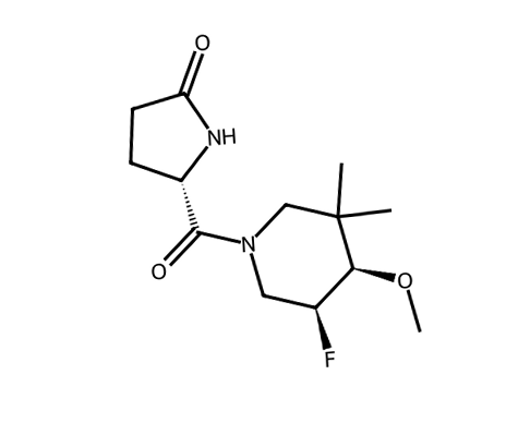 CO[C@H]1[C@@H](F)CN(C(=O)[C@@H]2CCC(=O)N2)CC1(C)C